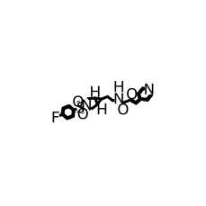 O=C(NCCC1[C@H]2CN(S(=O)(=O)c3ccc(F)cc3)C[C@@H]12)c1cc2ccncc2o1